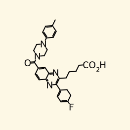 Cc1ccc(N2CCN(C(=O)c3ccc4nc(C5=CC=C(F)CC5)c(CCCCC(=O)O)nc4c3)CC2)cc1